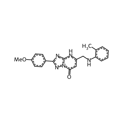 COc1ccc(-c2nc3[nH]c(CNc4ccccc4C)cc(=O)n3n2)cc1